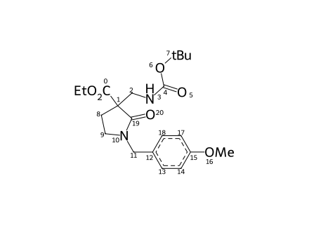 CCOC(=O)C1(CNC(=O)OC(C)(C)C)CCN(Cc2ccc(OC)cc2)C1=O